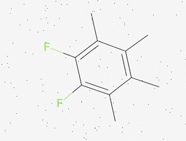 Cc1c(C)c(C)c(F)c(F)c1C